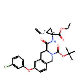 C=C[C@@H]1C[C@]1(NC(=O)C1Cc2cc(Oc3cccc(Cl)c3)ccc2CN1C(=O)OC(C)(C)C)C(=O)OCC